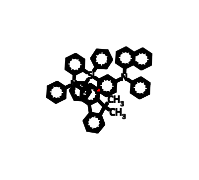 CC1(C)c2ccccc2-c2cc(N(c3ccccc3)c3ccccc3[Si](c3ccccc3)(c3ccccc3)c3cccc(N(c4ccccc4)c4cccc5ccccc45)c3)ccc21